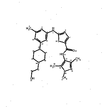 Cc1nc(Nc2ncc(C(=O)Nc3c(C)nn(C)c3C)s2)cc(N2CCN(CCO)CC2)n1